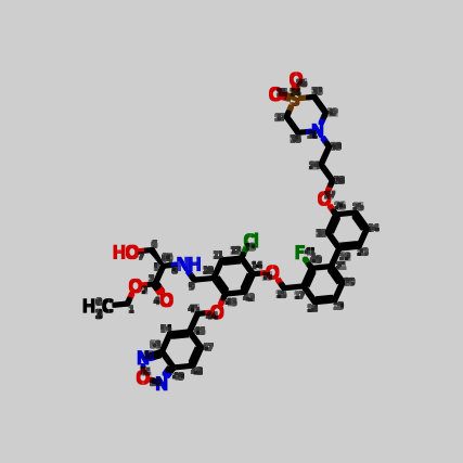 CCOC(=O)[C@@H](CO)NCc1cc(Cl)c(OCc2cccc(-c3cccc(OCCCN4CCS(=O)(=O)CC4)c3)c2F)cc1OCc1ccc2nonc2c1